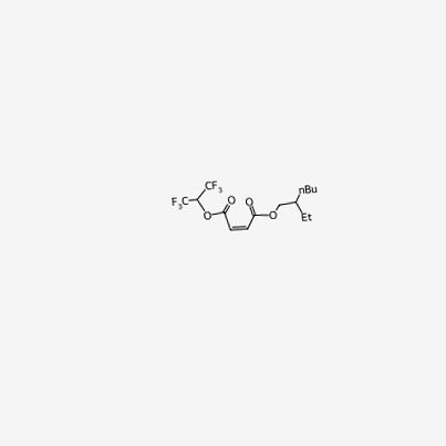 CCCCC(CC)COC(=O)/C=C\C(=O)OC(C(F)(F)F)C(F)(F)F